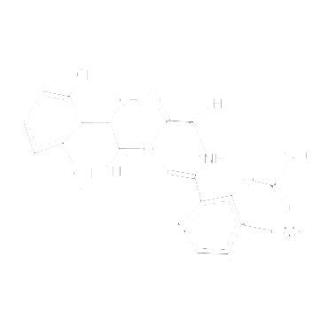 COc1ccnc(C(=O)NC(C)C(=O)OC(C)C(C)c2c(C)cccc2C)c1OC(=O)C(C)C